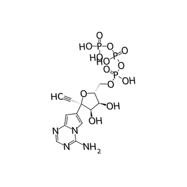 C#C[C@]1(c2cc3ncnc(N)n3c2)O[C@H](COP(=O)(O)OP(=O)(O)OP(=O)(O)O)[C@@H](O)[C@H]1O